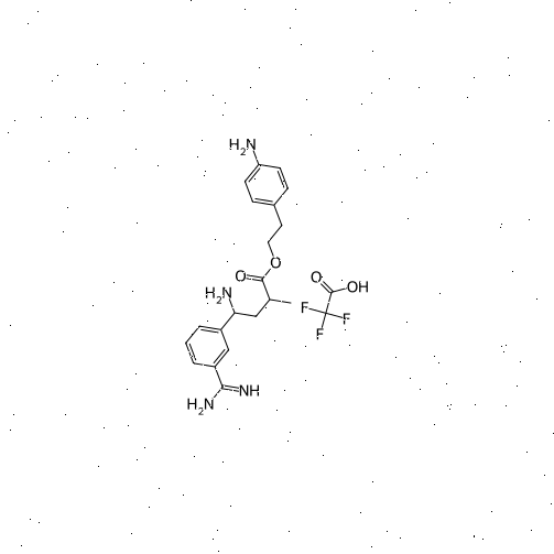 CC(CC(N)c1cccc(C(=N)N)c1)C(=O)OCCc1ccc(N)cc1.O=C(O)C(F)(F)F